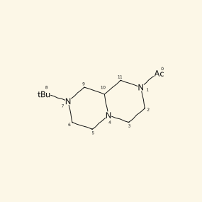 CC(=O)N1CCN2CCN(C(C)(C)C)CC2C1